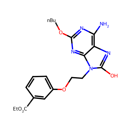 CCCCOc1nc(N)c2nc(O)n(CCOc3cccc(C(=O)OCC)c3)c2n1